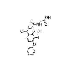 O=C(O)CNC(=O)c1nc(Cl)c2ccc(Oc3ccccc3)c(I)c2c1O